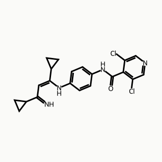 N=C(/C=C(\Nc1ccc(NC(=O)c2c(Cl)cncc2Cl)cc1)C1CC1)C1CC1